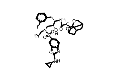 CC(C)CN(C[C@@H](O)[C@H](Cc1cccc(F)c1)NC(=O)OC1C2COC3OC1CC3C2)S(=O)(=O)c1ccc2nc(NC3CC3)oc2c1